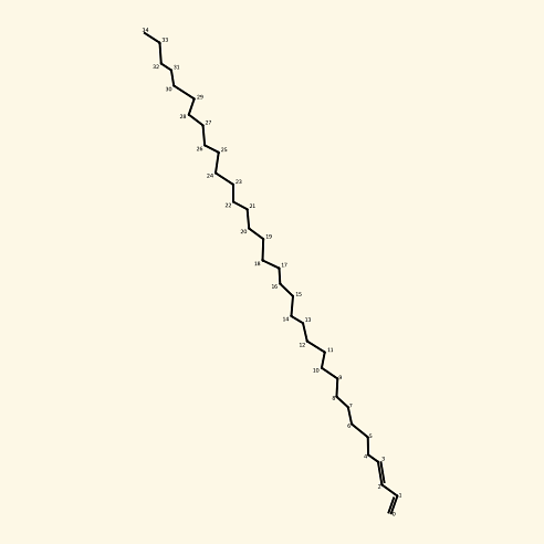 C=C/C=C/CCCCCCCCCCCCCCCCCCCCCCCCCCCCCCC